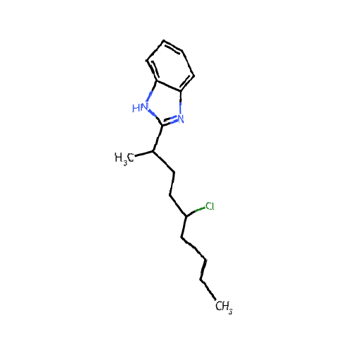 CCCCC(Cl)CCC(C)c1nc2ccccc2[nH]1